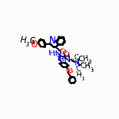 COc1ccc(-c2cc(C(=O)NC(Cc3ccc(OCc4ccccc4)cc3)C(=O)NCCN(C(C)C)C(C)C)c3ccccc3n2)cc1